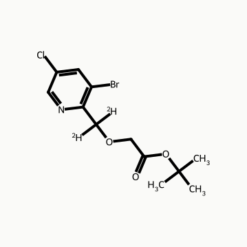 [2H]C([2H])(OCC(=O)OC(C)(C)C)c1ncc(Cl)cc1Br